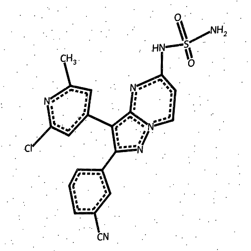 Cc1cc(-c2c(-c3cccc(C#N)c3)nn3ccc(NS(N)(=O)=O)nc23)cc(Cl)n1